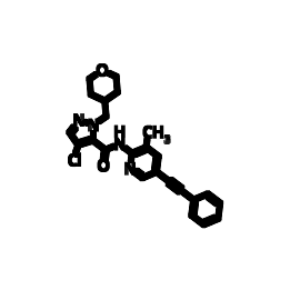 Cc1cc(C#Cc2ccccc2)cnc1NC(=O)c1c(Cl)cnn1CC1CCOCC1